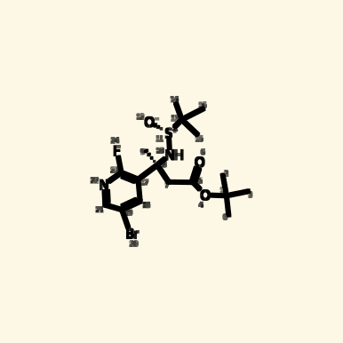 CC(C)(C)OC(=O)C[C@](C)(N[S@+]([O-])C(C)(C)C)c1cc(Br)cnc1F